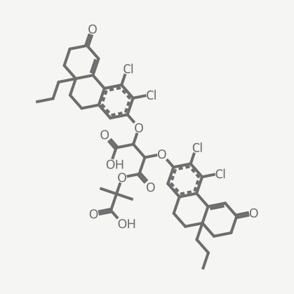 CCCC12CCC(=O)C=C1c1c(cc(OC(C(=O)O)C(Oc3cc4c(c(Cl)c3Cl)C3=CC(=O)CCC3(CCC)CC4)C(=O)OC(C)(C)C(=O)O)c(Cl)c1Cl)CC2